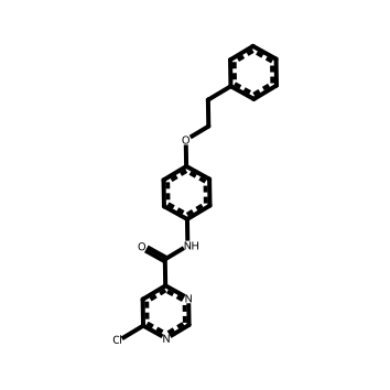 O=C(Nc1ccc(OCCc2ccccc2)cc1)c1cc(Cl)ncn1